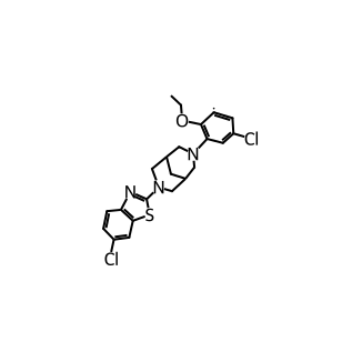 CCOc1[c]cc(Cl)cc1N1CC2CC(CN(c3nc4ccc(Cl)cc4s3)C2)C1